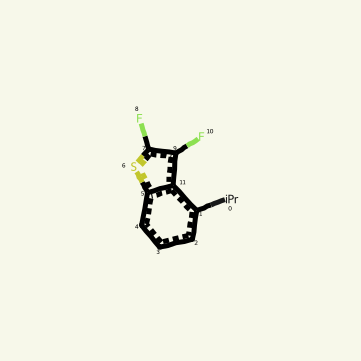 CC(C)c1cccc2sc(F)c(F)c12